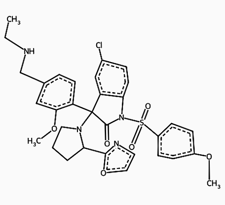 CCNCc1ccc(C2(N3CCCC3c3ncco3)C(=O)N(S(=O)(=O)c3ccc(OC)cc3)c3ccc(Cl)cc32)c(OC)c1